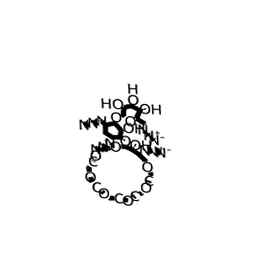 C[C@H]1COCCOCCOCCOCCOCCOC[C@@H](N=[N+]=[N-])[C@@H](O)C(O[C@H]2C(O)[C@H](O[C@H]3OC(CN=[N+]=[N-])[C@@H](O)[C@H](O)C3O)C(N=[N+]=[N-])C[C@H]2N=[N+]=[N-])O1